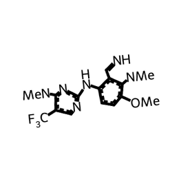 CNc1nc(Nc2ccc(OC)c(NC)c2C=N)ncc1C(F)(F)F